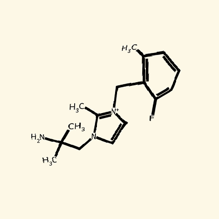 Cc1cccc(F)c1C[n+]1ccn(CC(C)(C)N)c1C